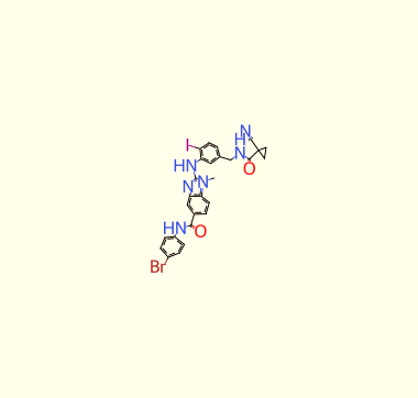 Cn1c(Nc2cc(CNC(=O)C3(C#N)CC3)ccc2I)nc2cc(C(=O)Nc3ccc(Br)cc3)ccc21